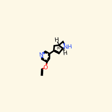 C=COc1cncc(C2=C[C@H]3NC[C@H]3C2)c1